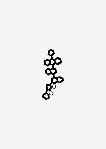 c1ccc(-c2c3ccccc3c(-c3ccc(-c4cc5c6ccc7c8ccccc8oc7c6oc5c5ccccc45)c4ccccc34)c3ccccc23)cc1